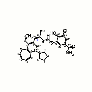 C=C/C(C1=C(OC2CCCC2)C=CC=CC1)=C(F)\C=C(\F)CNSc1cc(C(N)=O)cc(Cl)c1O